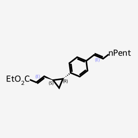 CCCCC/C=C/c1ccc([C@@H]2C[C@H]2/C=C/C(=O)OCC)cc1